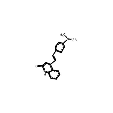 CN(C)c1ccc(C=Cc2cc(=O)[nH]c3ccccc23)cc1